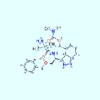 CCN(CC)C(=O)OCC1=CC=CC2=NN=C([C@@H](COCc3ccccc3)NC(=O)C(C)(C)N)C12